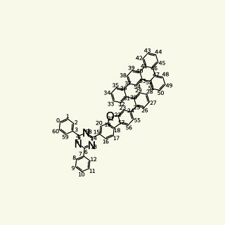 c1ccc(-c2nc(-c3ccccc3)nc(-c3ccc4c(c3)oc3cc(-c5ccccc5-c5ccccc5-c5ccc6c7ccccc7c7ccccc7c6c5)ccc34)n2)cc1